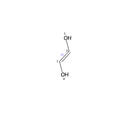 O/C=C/O